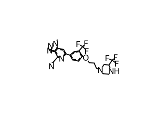 Cn1nnc2c(C#N)nc(-c3ccc(OCCCN4CCNC(C(F)(F)F)C4)c(C(F)(F)F)c3)cc21